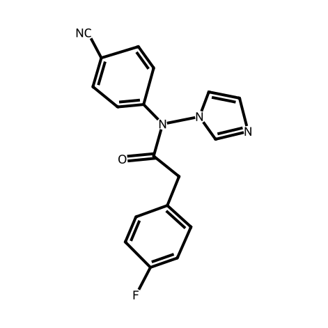 N#Cc1ccc(N(C(=O)Cc2ccc(F)cc2)n2ccnc2)cc1